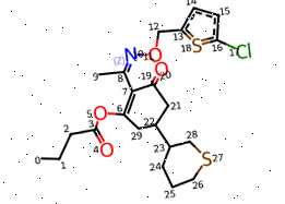 CCCC(=O)OC1=C(/C(C)=N\OCc2ccc(Cl)s2)C(=O)CC(C2CCCSC2)C1